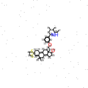 CCCC(NC(CC)CC)c1cccc(OCCC23CCC4C5CCC6(C=C5C(C)(C)CC4C2CCC3=O)SCCS6)c1